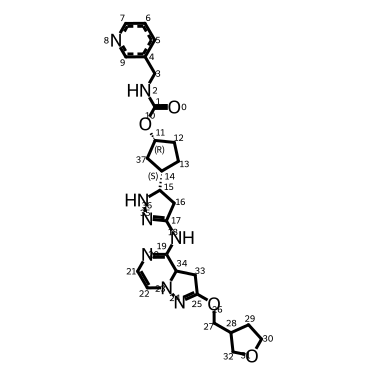 O=C(NCc1cccnc1)O[C@@H]1CC[C@H](C2CC(NC3=NC=CN4N=C(OCC5CCOC5)CC34)=NN2)C1